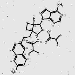 CC(C)C(=O)O[C@H]1[C@H](n2ccc3c(N)ncnc32)[C@H]2CC[C@@]2(CCc2ccc3nc(N)ccc3c2)[C@H]1OC(=O)C(C)C